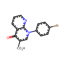 O=C(O)c1cn(-c2ccc(Br)cc2)c2ncccc2c1=O